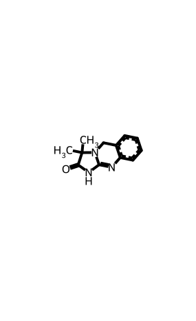 CC1(C)C(=O)NC2=Nc3ccccc3CN21